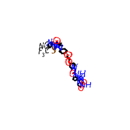 C[C@@H]1CC(OCCO[C@H]2CC[C@H](N3C(=S)N(c4cnc(C#N)c(C(F)(F)F)c4)C(=O)C3(C)C)CC2)C[C@H](C)N1CC(=O)Nc1cccc2c(N3CCC(=O)NC3=O)nn(C)c12